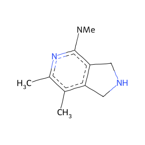 CNc1nc(C)c(C)c2c1CNC2